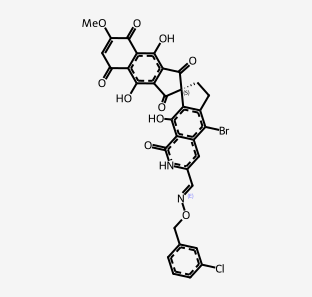 COC1=CC(=O)c2c(O)c3c(c(O)c2C1=O)C(=O)[C@]1(CCc2c1c(O)c1c(=O)[nH]c(/C=N/OCc4cccc(Cl)c4)cc1c2Br)C3=O